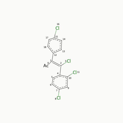 CC(=O)/C(=C(/Cl)c1ccc(Cl)cc1Cl)c1ccc(Cl)cc1